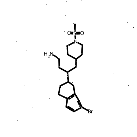 CS(=O)(=O)N1CCC(CC(CCN)C2CCc3ccc(Br)cc3C2)CC1